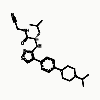 CC(C)C[C@H](Nc1nscc1-c1ccc(N2CCN(C(C)C)CC2)cc1)C(=O)NCC#N